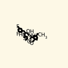 CCc1ccc2c(c1)C(NCC(O)C(Cc1cc(F)cc(F)c1)Nc1cccs1)CS(=O)(=O)C2